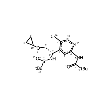 CC(C)(C)C(=O)Nc1cc([C@@H](COC2CC2)N[S+]([O-])C(C)(C)C)c(Cl)nn1